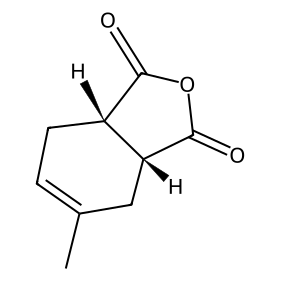 CC1=CC[C@@H]2C(=O)OC(=O)[C@@H]2C1